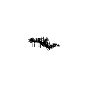 CCCCc1ccc(-c2ccc(C(=O)N3CCC(C(=O)N[C@H](C(=O)N[C@@H](N)C(=O)N[C@@H](CCCCNC(=O)OC(C)(C)C)C(=O)O)[C@@H](C)OCC(C)C)CC3)cc2)cc1